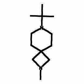 CN1CC2(CCN(C(C)(C)C)CC2)C1